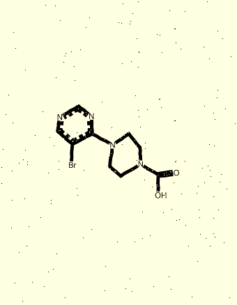 O=C(O)N1CCN(c2ncncc2Br)CC1